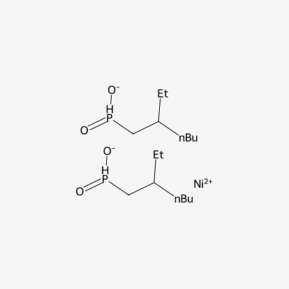 CCCCC(CC)C[PH](=O)[O-].CCCCC(CC)C[PH](=O)[O-].[Ni+2]